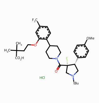 COc1ccc([C@@H]2CN(C(C)(C)C)C[C@@]2(F)C(=O)N2CCC(c3ccc(C(F)(F)F)cc3OCCC(C)(C)C(=O)O)CC2)cc1.Cl